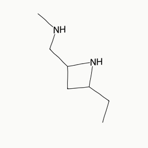 CCC1CC(CNC)N1